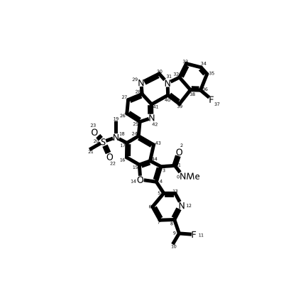 CNC(=O)c1c(-c2ccc(C(C)F)nc2)oc2cc(N(C)S(C)(=O)=O)c(-c3ccc4ncn5c6cccc(F)c6cc5c4n3)cc12